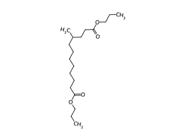 CCCOC(=O)CCCCCCCC(C)CCC(=O)OCCC